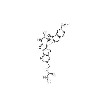 CCNC(=O)OCc1cnc2cc([C@]3(CN4Cc5ccc(OC)cc5C4=O)NC(=O)NC3=O)oc2c1